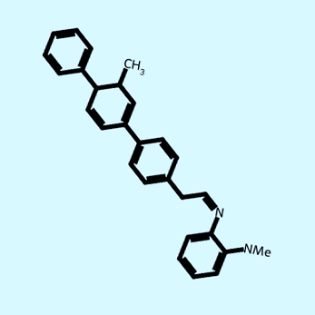 CNc1ccccc1/N=C\Cc1ccc(C2=CC(C)C(c3ccccc3)C=C2)cc1